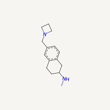 CNC1CCc2cc(CN3CCC3)ccc2C1